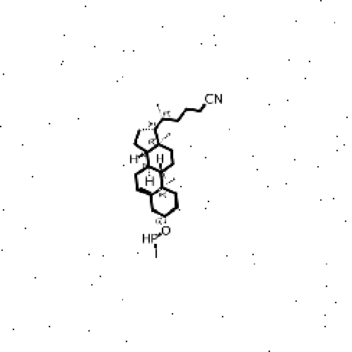 C[C@H](CCCC#N)[C@H]1CC[C@H]2[C@@H]3CC=C4C[C@@H](OPI)CC[C@]4(C)[C@H]3CC[C@]12C